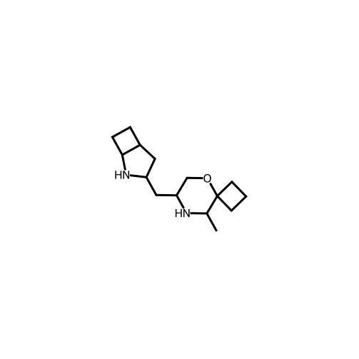 CC1NC(CC2CC3CCC3N2)COC12CCC2